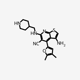 Cc1cc(-c2c(C#N)c(NCC3CCNCC3)nc3scc(N)c23)oc1C